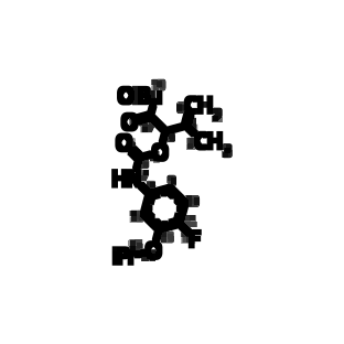 C=C(C)C(OC(=O)Nc1ccc(F)c(OC(C)C)c1)C(=O)OCC(C)C